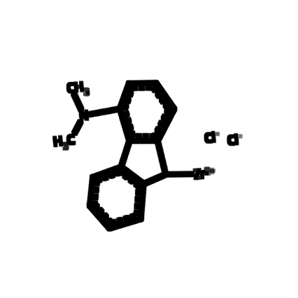 CN(C)c1cccc2c1-c1ccccc1[CH]2[Zr+2].[Cl-].[Cl-]